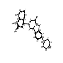 CC1CN(c2cc(=O)n(C)c3ncccc23)CC2c3ccc(N4CCNCC4)cc3CN12